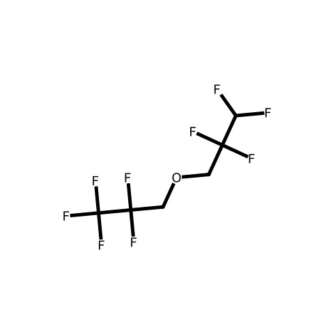 FC(F)C(F)(F)COCC(F)(F)C(F)(F)F